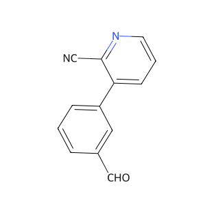 N#Cc1ncccc1-c1cccc(C=O)c1